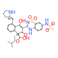 CC(C)CC[C@@]1(C(=O)O)C(=O)C(C2=NS(=O)(=O)c3cc(NS(C)(=O)=O)ccc3N2)=C(O)c2c(C[C@H]3CCCN3)cccc21